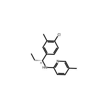 CC[C@@H](Nc1ccc(C)cn1)c1ccc(Cl)c(C)c1